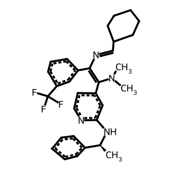 C[C@H](Nc1cc(/C(=C(/N=C/C2CCCCC2)c2cccc(C(F)(F)F)c2)N(C)C)ccn1)c1ccccc1